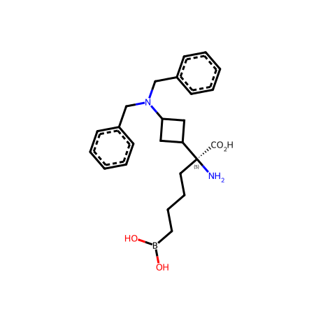 N[C@](CCCCB(O)O)(C(=O)O)C1CC(N(Cc2ccccc2)Cc2ccccc2)C1